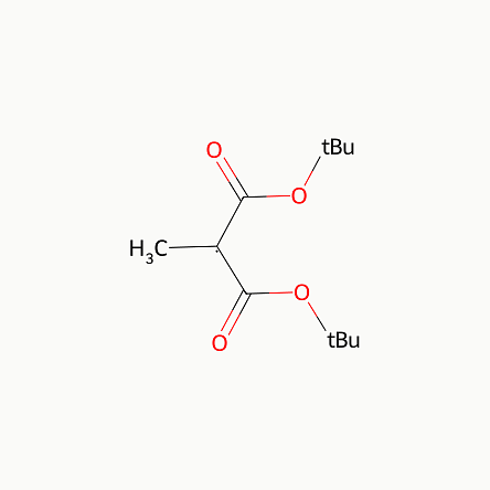 C[C](C(=O)OC(C)(C)C)C(=O)OC(C)(C)C